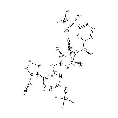 C[C@H](c1cccc(S(=O)(=O)N(C)C)c1)N1C(=O)[C@@H]2C[C@H]1CN2C[C@H](NC(=O)OC(C)(C)C)C(=O)N1CCC[C@H]1C#N